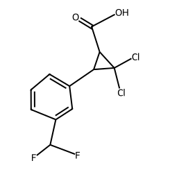 O=C(O)C1C(c2cccc(C(F)F)c2)C1(Cl)Cl